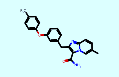 Cc1ccc2nc(Cc3cccc(Oc4ccc(C(F)(F)F)cc4)c3)c(C(N)=O)n2c1